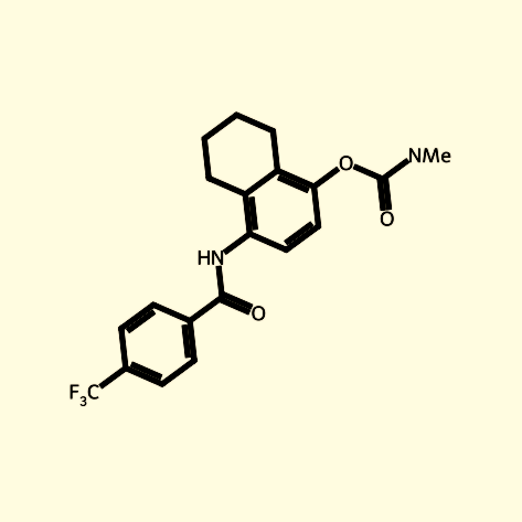 CNC(=O)Oc1ccc(NC(=O)c2ccc(C(F)(F)F)cc2)c2c1CCCC2